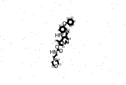 Cc1c(OC(=O)NCCN2CCOCC2)cn2ncc(C#N)c(Nc3ccc(Oc4ccccc4)cc3)c12